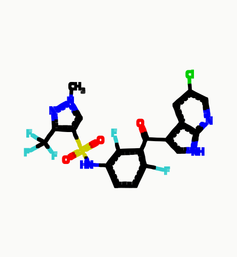 Cn1cc(S(=O)(=O)Nc2ccc(F)c(C(=O)c3c[nH]c4ncc(Cl)cc34)c2F)c(C(F)(F)F)n1